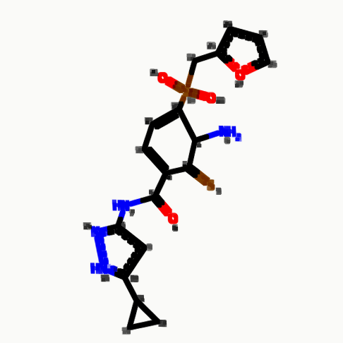 NC1C(=S)C(C(=O)Nc2cc(C3CC3)[nH]n2)=CC=C1S(=O)(=O)Cc1ccco1